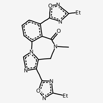 CCc1noc(-c2cccc3c2C(=O)N(C)Cc2c(-c4nc(CC)no4)ncn2-3)n1